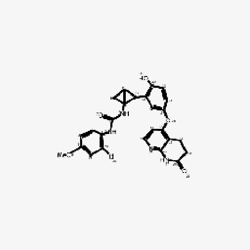 COc1ccc(NC(=O)NC23CC2C3c2cc(Oc3ccnc4c3CCC(=O)N4)ccc2O)c(Cl)c1